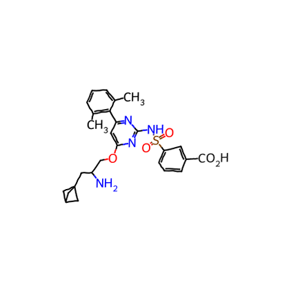 Cc1cccc(C)c1-c1cc(OCC(N)CC23CC(C2)C3)nc(NS(=O)(=O)c2cccc(C(=O)O)c2)n1